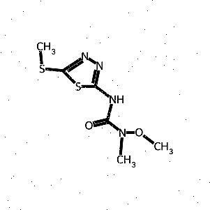 CON(C)C(=O)Nc1nnc(SC)s1